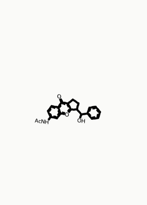 CC(=O)Nc1ccc2c(=O)c3c(oc2c1)C(C(O)c1ccccc1)CC3